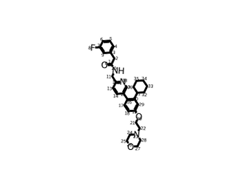 O=C(Cc1cccc(F)c1)NCc1ccc(-c2ccc(OCCN3CCOCC3)cc2C2CCCCC2)cn1